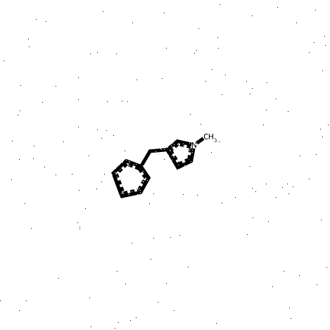 Cn1[c]c(Cc2ccccc2)cc1